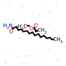 C=CC(=O)OCC.CCCCCCCCCCCCCCCC(N)=O